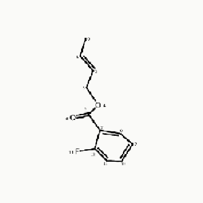 CC=CCOC(=O)c1ccccc1F